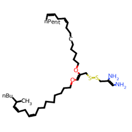 CCCCC/C=C\C/C=C\CCCCCCCCO/C(=C\OCCCCCCCC/C=C\C/C=C\C(C)CCCC)CSSC/C(N)=C/N